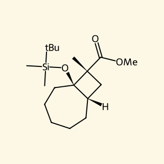 COC(=O)[C@]1(C)C[C@@H]2CCCCC[C@@]21O[Si](C)(C)C(C)(C)C